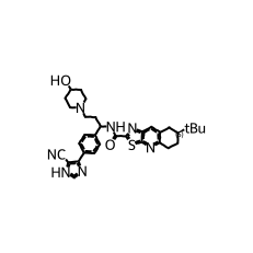 CC(C)(C)[C@H]1CCc2nc3sc(C(=O)NC(CCN4CCC(O)CC4)c4ccc(-c5nc[nH]c5C#N)cc4)nc3cc2C1